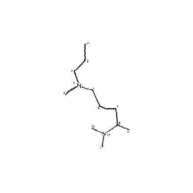 CCCN(C)CCCC(C)N(C)C